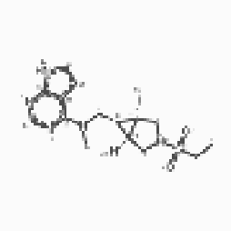 CCS(=O)(=O)N1C[C@@H]2[C@H](CN(C)c3ncnc4[nH]ccc34)[C@@H]2C1